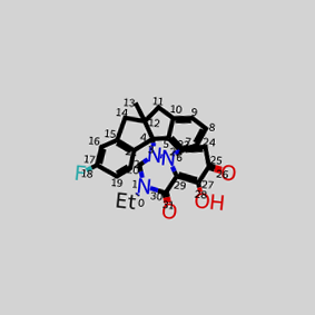 CCN1CN(C23c4ccccc4CC2(C)Cc2cc(F)ccc23)n2ccc(=O)c(O)c2C1=O